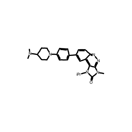 CC(C)n1c(=O)n(C)c2nnc3ccc(-c4ccc(N5CCC(N(C)C)CC5)cc4)cc3c21